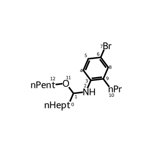 CCCCCCCC(Nc1ccc(Br)cc1CCC)OCCCCC